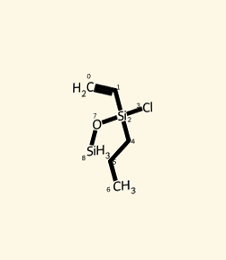 C=C[Si](Cl)(CCC)O[SiH3]